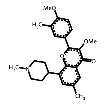 COc1ccc(-c2oc3c(C4CCN(C)CC4)cc(C)cc3c(=O)c2OC)cc1C